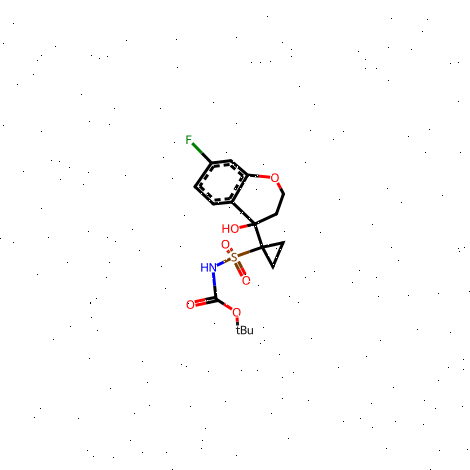 CC(C)(C)OC(=O)NS(=O)(=O)C1(C2(O)CCOc3cc(F)ccc32)CC1